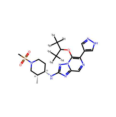 [2H]C([2H])([2H])C(Oc1c(-c2cn[nH]c2)ncc2nc(N[C@H]3CCN(S(C)(=O)=O)C[C@H]3C)nn12)C([2H])([2H])[2H]